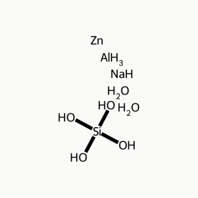 O.O.O[Si](O)(O)O.[AlH3].[NaH].[Zn]